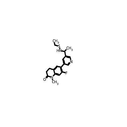 CCSNC(C)c1cncc(-c2cc3c(cc2F)N(C)C(=O)CC3)c1